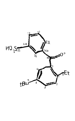 CCc1ccc(C(C)(C)C)cc1C(=O)c1cccc(S(=O)(=O)O)c1